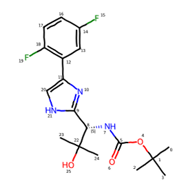 CC(C)(C)OC(=O)N[C@@H](c1nc(-c2cc(F)ccc2F)c[nH]1)C(C)(C)O